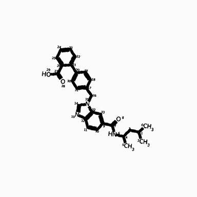 CC(C)CC(C)NC(=O)c1ccc2ncn(Cc3ccc(-c4ccccc4C(=O)O)cc3)c2c1